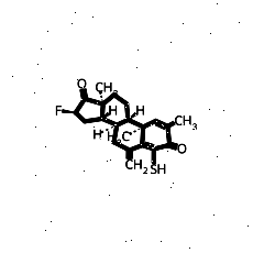 C=C1C[C@@H]2[C@H](CC[C@]3(C)C(=O)[C@H](F)C[C@@H]23)[C@@]2(C)C=C(C)C(=O)C(S)=C12